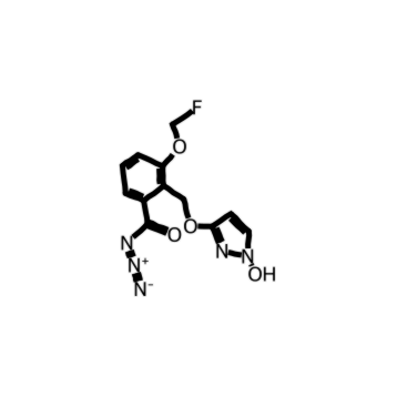 [N-]=[N+]=NC(=O)c1cccc(OCF)c1COc1ccn(O)n1